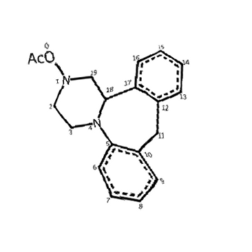 CC(=O)ON1CCN2c3ccccc3Cc3ccccc3C2C1